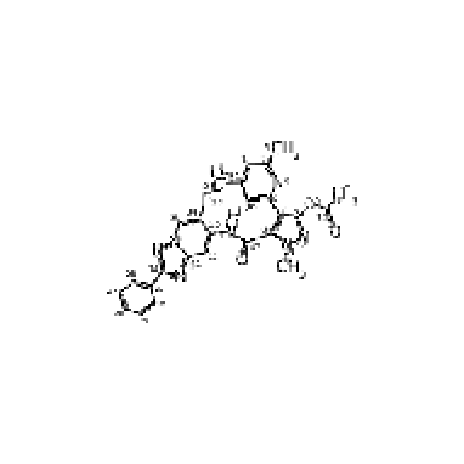 Cc1cc(C)nc(-c2c(OC(=O)C(F)(F)F)nn(C)c2C(=O)Nc2cc3nc(-c4ccccc4)nn3cc2F)c1